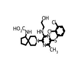 Cc1nc(N2CCC3(CCCC3NC(=O)O)CC2)c(NCCO)nc1Sc1cccc(Cl)c1Cl